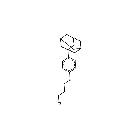 OCCCOc1ccc(C23CC4CC(CC(C4)C2)C3)cc1